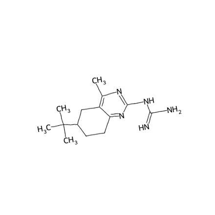 Cc1nc(NC(=N)N)nc2c1CC(C(C)(C)C)CC2